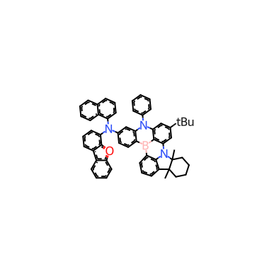 CC(C)(C)c1cc2c3c(c1)N1c4c(cccc4C4(C)CCCCC14C)B3c1ccc(N(c3cccc4ccccc34)c3cccc4c3oc3ccccc34)cc1N2c1ccccc1